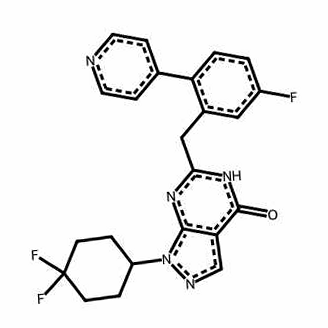 O=c1[nH]c(Cc2cc(F)ccc2-c2ccncc2)nc2c1cnn2C1CCC(F)(F)CC1